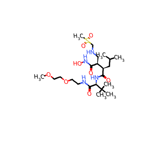 COCCOCCNC(=O)[C@@H](NC(=O)[C@H](CC(C)C)[C@H](CNCS(C)(=O)=O)C(=O)NO)C(C)(C)C